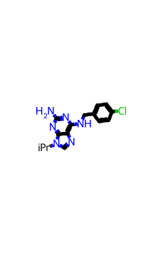 CC(C)n1cnc2c(NCc3ccc(Cl)cc3)nc(N)nc21